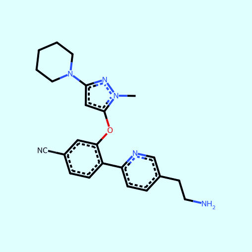 Cn1nc(N2CCCCC2)cc1Oc1cc(C#N)ccc1-c1ccc(CCN)cn1